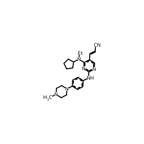 CCN(c1nc(Nc2ccc(N3CCN(C)CC3)cc2)ncc1C=CC#N)C1CCCC1